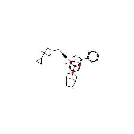 Nc1nnc(-c2ccccc2O)cc1N1CC2CCC(C1)N2c1ccnc(C#CCN2CC(O)(C3CC3)C2)c1